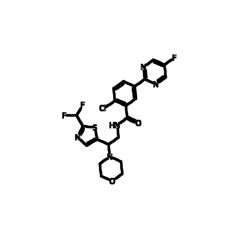 O=C(NCC(c1cnc(C(F)F)s1)N1CCOCC1)c1cc(-c2ncc(F)cn2)ccc1Cl